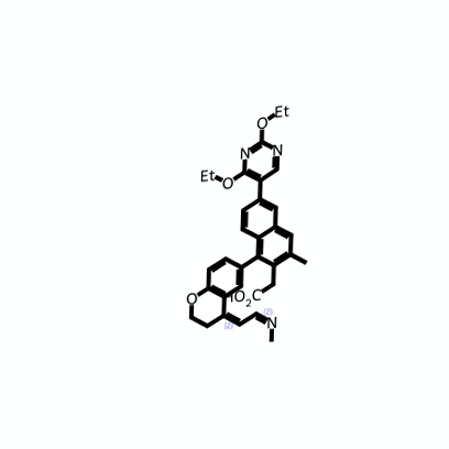 CCOc1ncc(-c2ccc3c(-c4ccc5c(c4)/C(=C\C=N/C)CCO5)c(CC(=O)O)c(C)cc3c2)c(OCC)n1